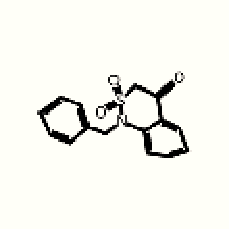 O=C1CS(=O)(=O)N(Cc2ccccc2)c2ccccc21